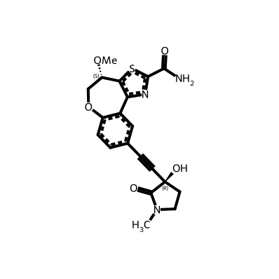 CO[C@H]1COc2ccc(C#C[C@]3(O)CCN(C)C3=O)cc2-c2nc(C(N)=O)sc21